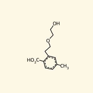 Cc1ccc(C(=O)O)c(CCOCCO)c1